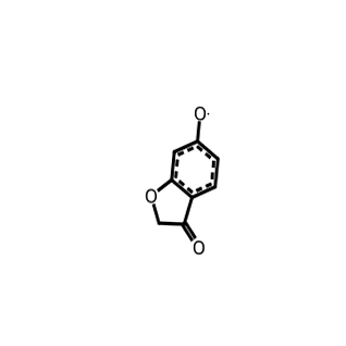 [O]c1ccc2c(c1)OCC2=O